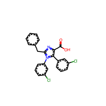 O=C(O)c1nc(Cc2ccccc2)n(-c2cccc(Cl)c2)c1-c1cccc(Cl)c1